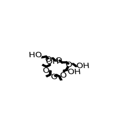 CC(O)COC(C)COC(C)COC(C)CO.OCCOCCOCCOCCO